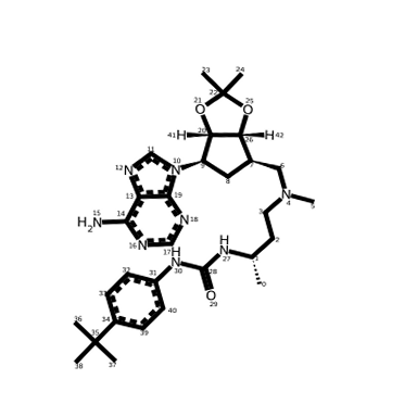 C[C@@H](CCN(C)C[C@H]1C[C@@H](n2cnc3c(N)ncnc32)[C@@H]2OC(C)(C)O[C@H]12)NC(=O)Nc1ccc(C(C)(C)C)cc1